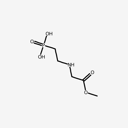 COC(=O)CNCCP(=O)(O)O